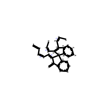 C=C/C=C\C=C1/C(=C)c2ccccc2C12C(/C=C\C)=C(/C=C\C)c1ccccc12